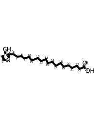 Cn1ccnc1CCCCCCCCCCCCCCCCCCC(=O)O